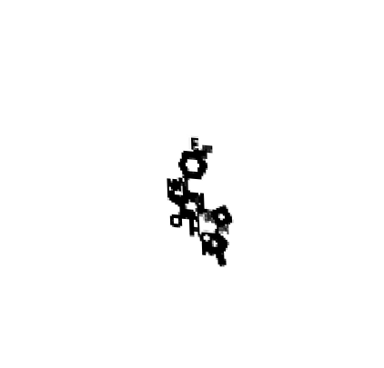 Cc1cc([C@H]2CC[C@H]2c2nc3c(cnn3C3CCC(F)(F)CC3)c(=O)[nH]2)on1